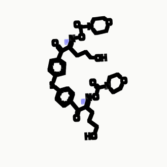 O=C(/C(CCCO)=N/OC(=O)N1CCOCC1)c1ccc(Sc2ccc(C(=O)/C(CCCO)=N/OC(=O)N3CCOCC3)cc2)cc1